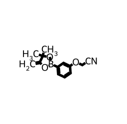 C=C1OB(c2cccc(OCC#N)c2)OC1(C)C